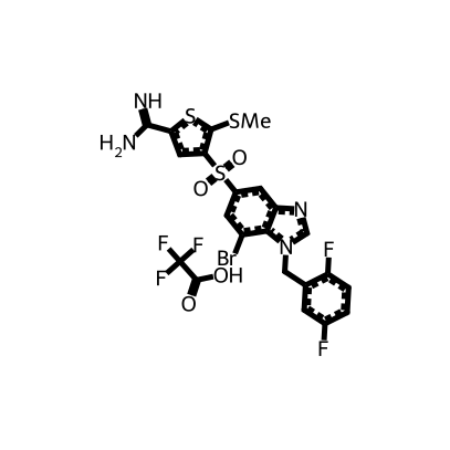 CSc1sc(C(=N)N)cc1S(=O)(=O)c1cc(Br)c2c(c1)ncn2Cc1cc(F)ccc1F.O=C(O)C(F)(F)F